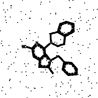 Cc1cc2cc(C#N)nc(N3CCc4ccccc4C3)c2n1Cc1ccccc1